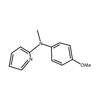 COc1ccc(N(C)c2ccccn2)cc1